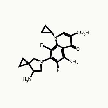 Nc1c(F)c(N2CC(N)C3(CC3)C2)c(F)c2c1c(=O)c(C(=O)O)cn2C1CC1